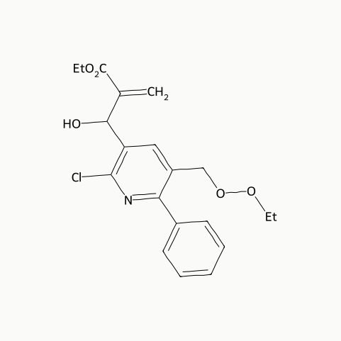 C=C(C(=O)OCC)C(O)c1cc(COOCC)c(-c2ccccc2)nc1Cl